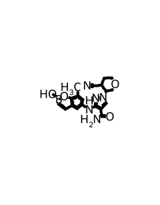 Cc1cc(Nc2nn(C3COCCC3C#N)cc2C(N)=O)cc2c1OB(O)C=C2